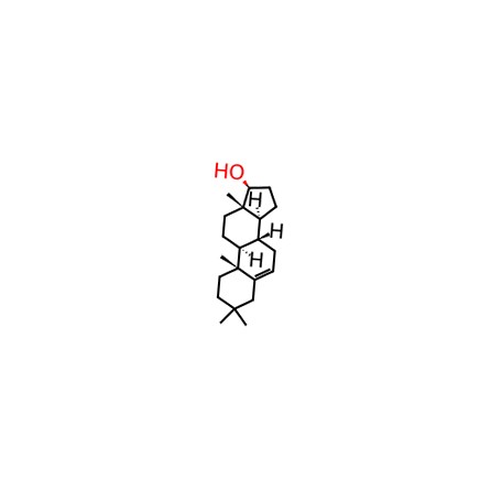 CC1(C)CC[C@@]2(C)C(=CC[C@H]3[C@@H]4CC[C@H](O)[C@@]4(C)CC[C@@H]32)C1